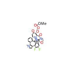 COC(=O)OCOc1c2n(ccc1=O)N([C@@H]1c3ccccc3-c3c(ccn3C)-c3c1ccc(F)c3F)[C@@H]1COCCN1C2=O